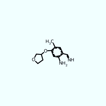 Cc1cc(C=N)c(N)cc1OC1CCOC1